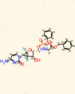 C[C@H](NP(=O)(OC[C@H]1OC2(F)[C@@H](n3ccc(N)nc3=O)C2(F)C1O)Oc1ccccc1)C(=O)OCc1ccccc1